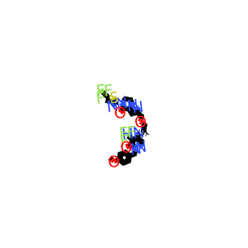 COc1ccc(Cn2ncc(N[C@@H](C)COCc3cc4n(n3)CCN(c3ncc(C(F)(F)F)s3)C4=O)c(C(F)(F)F)c2=O)cc1